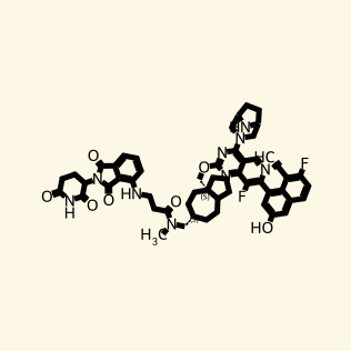 C#Cc1c(F)ccc2cc(O)cc(-c3ncc4c(N5CC6CCC(C5)N6)nc(OC[C@]56CCCC5CC[C@H](CN(C)C(=O)CCNc5cccc7c5C(=O)N(C5CCC(=O)NC5=O)C7=O)CC6)nc4c3F)c12